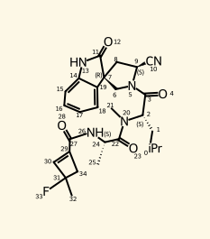 CC(C)C[C@@H](C(=O)N1C[C@]2(C[C@H]1C#N)C(=O)Nc1ccccc12)N(C)C(=O)[C@H](C)NC(=O)C1=CC(C)(F)C1